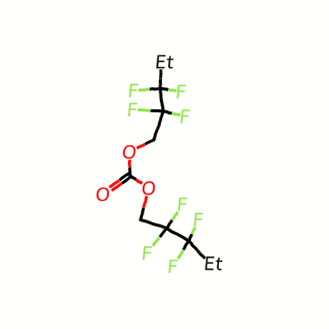 CCC(F)(F)C(F)(F)COC(=O)OCC(F)(F)C(F)(F)CC